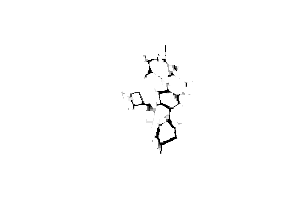 Cc1ccc(-c2cc3c(cc2NC2CNC2)N2C(=NNC(=O)C2C)CO3)cc1